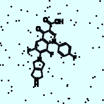 O=C(O)c1cn(-c2ccc(F)cc2)c2c(F)c(N3CC4=C(CNC4)C3)c(F)cc2c1=O